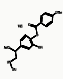 COc1ccc(C(=O)Oc2ccc(C(CNC(C)(C)C)OC(C)=O)cc2O)cc1.Cl